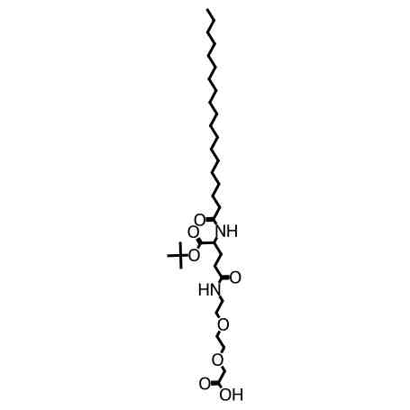 CCCCCCCCCCCCCCCCCCC(=O)NC(CCC(=O)NCCOCCOCC(=O)O)C(=O)OC(C)(C)C